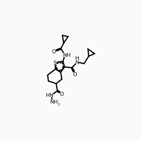 NNC(=O)C1CCc2sc(NC(=O)C3CC3)c(C(=O)NCC3CC3)c2C1